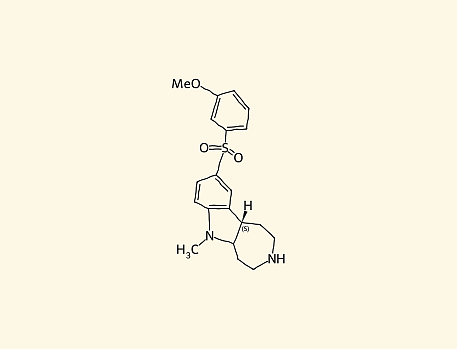 COc1cccc(S(=O)(=O)c2ccc3c(c2)[C@@H]2CCNCCC2N3C)c1